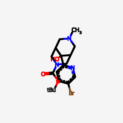 CN1CC2CN(C(=O)OC(C)(C)C)CC(C1)C2(O)c1ccc(Br)cn1